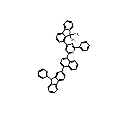 CC1(C)c2ccccc2-c2cccc(-c3cc(-c4ccc(-c5ccc6c7ccccc7n(-c7ccccc7)c6c5)c5ccccc45)nc(-c4ccccc4)n3)c21